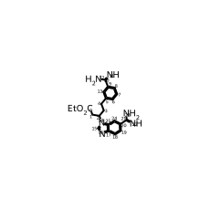 CCOC(=O)CC(CCc1cccc(C(=N)N)c1)n1cnc2ccc(C(=N)N)cc21